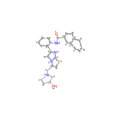 O=C(Nc1ccccc1-c1cn2c(CN3CCC(O)C3)csc2n1)c1ccc2ccccc2c1